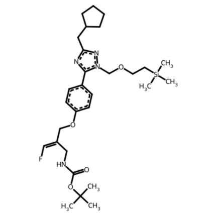 CC(C)(C)OC(=O)NC/C(=C\F)COc1ccc(-c2nc(CC3CCCC3)nn2COCC[Si](C)(C)C)cc1